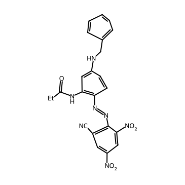 CCC(=O)Nc1cc(NCc2ccccc2)ccc1/N=N/c1c(C#N)cc([N+](=O)[O-])cc1[N+](=O)[O-]